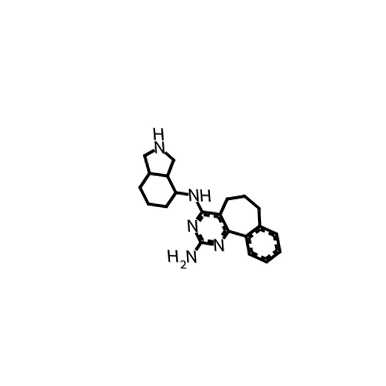 Nc1nc(NC2CCCC3CNCC32)c2c(n1)-c1ccccc1CCC2